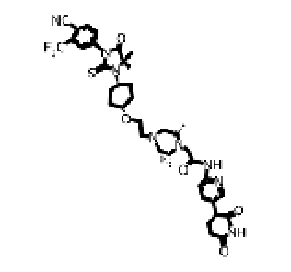 C[C@@H]1CN(CCO[C@H]2CC[C@H](N3C(=S)N(c4ccc(C#N)c(C(F)(F)F)c4)C(=O)C3(C)C)CC2)C[C@H](C)N1CC(=O)Nc1ccc(C2CCC(=O)NC2=O)cn1